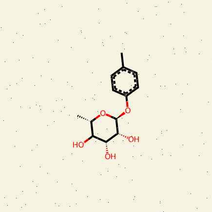 Cc1ccc(O[C@@H]2O[C@@H](C)C(O)[C@@H](O)[C@H]2O)cc1